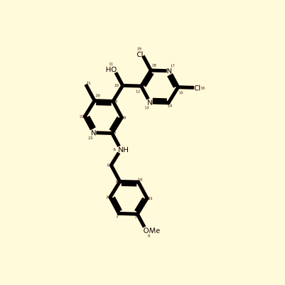 COc1ccc(CNc2cc(C(O)c3ncc(Cl)nc3Cl)c(C)cn2)cc1